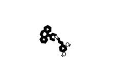 COc1ccc(C=CCN2CCC(=C3c4ccccc4C=Cc4ccccc43)CC2)c(OC)c1